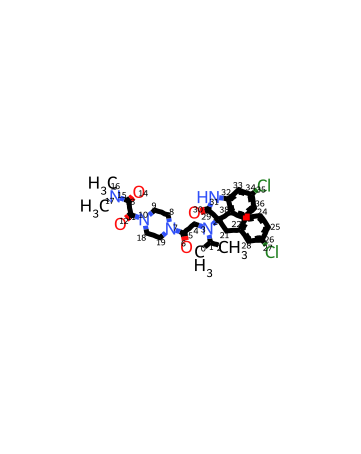 CC(C)N(CC(=O)N1CCN(C(=O)C(=O)N(C)C)CC1)C1(Cc2cccc(Cl)c2)C(=O)Nc2cc(Cl)ccc21